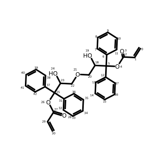 C=CC(=O)OC(c1ccccc1)(c1ccccc1)C(O)COCC(O)C(OC(=O)C=C)(c1ccccc1)c1ccccc1